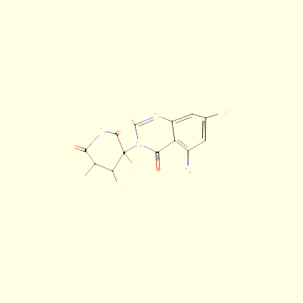 Bc1cc(N)c2c(=O)n(C3(B)C(=O)NC(=O)C(B)C3B)c(C)nc2c1